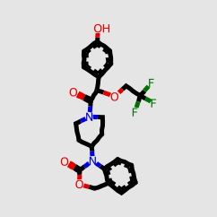 O=C(C(OCC(F)(F)F)c1ccc(O)cc1)N1CCC(N2C(=O)OCc3ccccc32)CC1